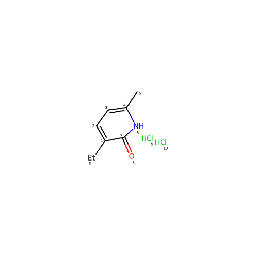 CCc1ccc(C)[nH]c1=O.Cl.Cl